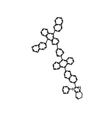 C1=Cc2c(nc(-c3ccc4cc(-c5c6ccccc6c(-c6ccc(-c7ccc8c(-c9ccc%10ccccc%10c9)c9ccccc9c(-c9ccc%10ccccc%10c9)c8c7)cc6)c6ccccc56)ccc4c3)n2-c2ccccc2)CC1